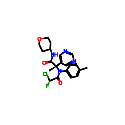 Cc1ccc(N(C(=O)[C@H](F)Cl)[C@](C)(C(=O)NC2CCOCC2)c2cncnc2)cc1